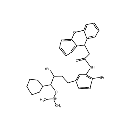 CC(C)c1ccc(CCC(C(O[SiH](C)C)C2CCCCC2)C(C)(C)C)cc1NC(=O)CC1c2ccccc2Oc2ccccc21